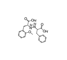 COc1ccccc1C[C@H](NNC(Cc1ccccc1)C(=O)O)C(=O)O